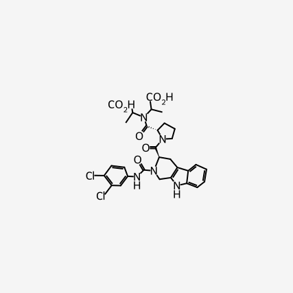 CC(C(=O)O)N(C(=O)[C@@H]1CCCN1C(=O)[C@H]1Cc2c([nH]c3ccccc23)CN1C(=O)Nc1ccc(Cl)c(Cl)c1)C(C)C(=O)O